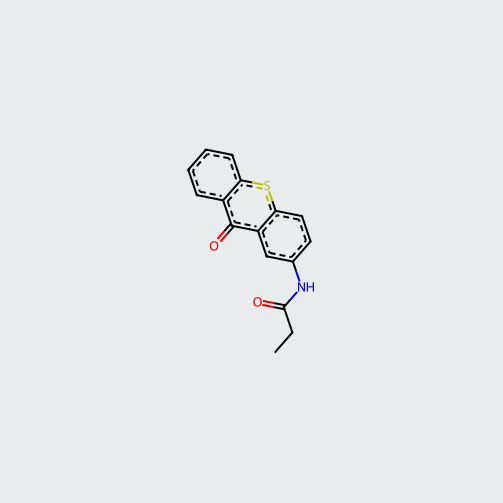 CCC(=O)Nc1ccc2sc3ccccc3c(=O)c2c1